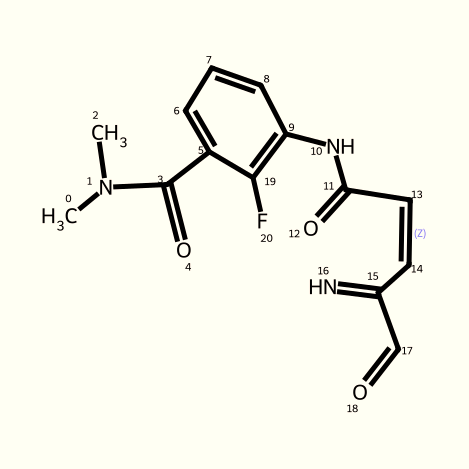 CN(C)C(=O)c1cccc(NC(=O)/C=C\C(=N)C=O)c1F